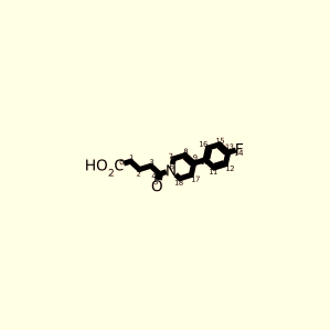 O=C(O)CCCC(=O)N1CC=C(c2ccc(F)cc2)CC1